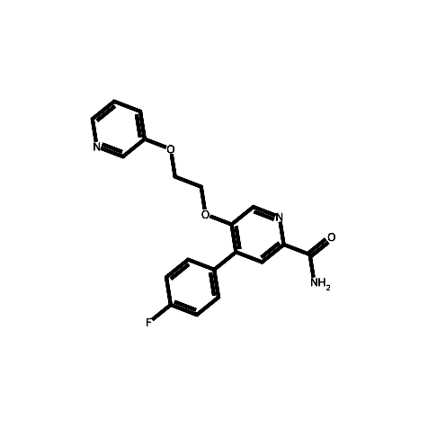 NC(=O)c1cc(-c2ccc(F)cc2)c(OCCOc2cccnc2)cn1